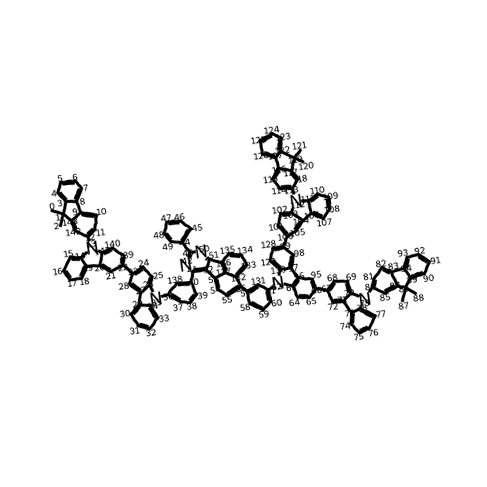 CC1(C)c2ccccc2-c2ccc(-n3c4ccccc4c4cc(-c5ccc6c(c5)c5ccccc5n6-c5cccc(-c6nc(-c7ccccc7)nc7c6-c6ccc(-c8cccc(-n9c%10ccc(-c%11ccc%12c(c%11)c%11ccccc%11n%12-c%11ccc%12c(c%11)C(C)(C)c%11ccccc%11-%12)cc%10c%10cc(-c%11ccc%12c(c%11)c%11ccccc%11n%12-c%11ccc%12c(c%11)C(C)(C)c%11ccccc%11-%12)ccc%109)c8)c8cccc-7c68)c5)ccc43)cc21